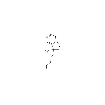 CCCCCC1(N)CCc2ccccc21